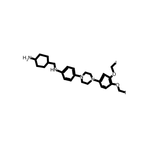 NC1CCC(CNc2ccc(N3CCN(c4ccc(OCI)c(OCI)c4)CC3)cc2)CC1